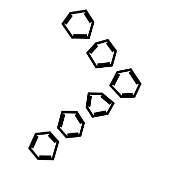 c1ccccc1.c1ccccc1.c1ccccc1.c1ccccc1.c1ccccc1.c1ccccc1